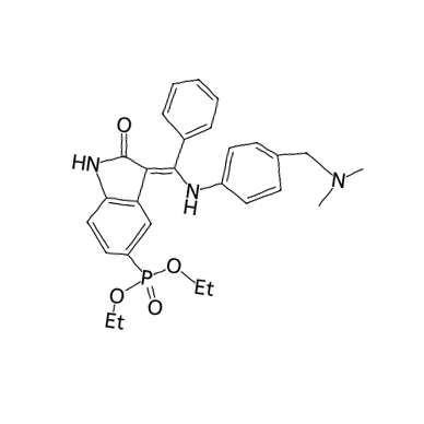 CCOP(=O)(OCC)c1ccc2c(c1)C(=C(Nc1ccc(CN(C)C)cc1)c1ccccc1)C(=O)N2